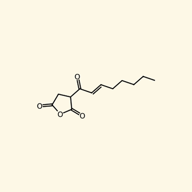 CCCCCC=CC(=O)C1CC(=O)OC1=O